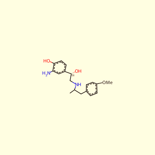 COc1ccc(CC(C)NC[C@@H](O)c2ccc(O)c(N)c2)cc1